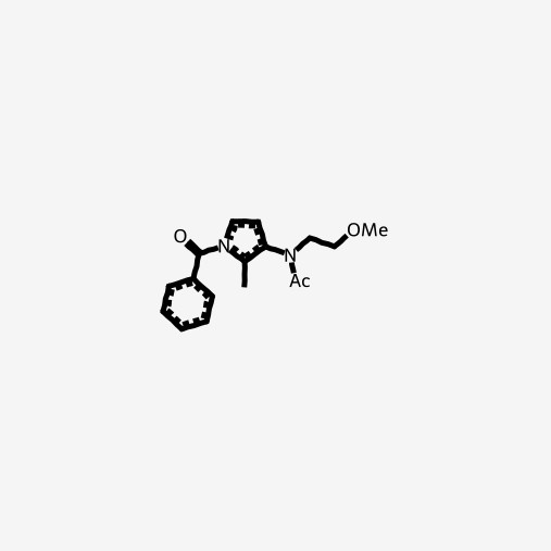 COCCN(C(C)=O)c1ccn(C(=O)c2ccccc2)c1C